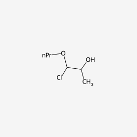 CCCOC(Cl)C(C)O